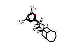 O=C(NS(=O)(=O)c1cc(C(F)(F)F)cc(C(F)(F)F)c1)C1C2CCCCC1CN(C(=O)CC1CCCC1)C2